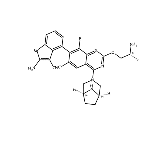 C[C@@H](N)COc1nc(N2C[C@H]3CC[C@@H](C2)N3)c2cc(Cl)c(-c3cccc4[se]c(N)c(C#N)c34)c(F)c2n1